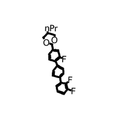 CCCC1COC(c2ccc(-c3ccc(-c4cccc(F)c4F)cc3)c(F)c2)OC1